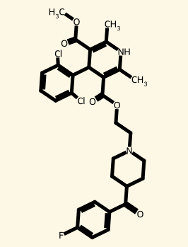 COC(=O)C1=C(C)NC(C)=C(C(=O)OCCN2CCC(C(=O)c3ccc(F)cc3)CC2)C1c1c(Cl)cccc1Cl